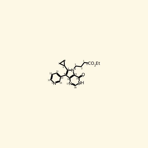 CCOC(=O)CCCn1c(C2CC2)c(-c2cccnc2)c2nc[nH]c(=O)c21